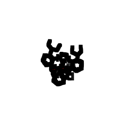 CCC(CC)c1cccc(C(CC)CC)c1-n1ccn(-c2c(C(CC)CC)cccc2C(CC)CC)[c]1=[Pd-3]([Cl])([Cl])[c]1ncccc1Cl